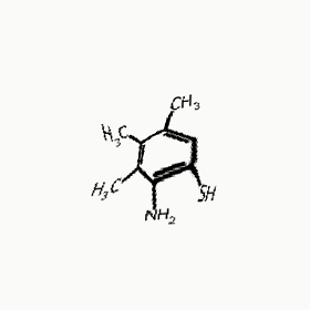 Cc1cc(S)c(N)c(C)c1C